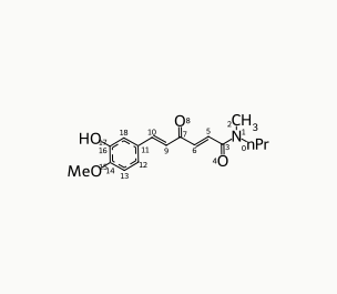 CCCN(C)C(=O)/C=C/C(=O)/C=C/c1ccc(OC)c(O)c1